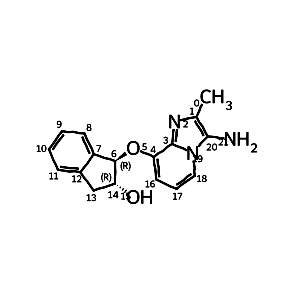 Cc1nc2c(O[C@@H]3c4ccccc4C[C@H]3O)cccn2c1N